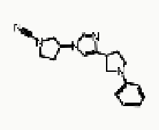 N#CN1CCC(n2cnc(C3CCN(c4ccccc4)C3)c2)C1